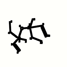 C=C[Si](C)(CC)O[Si](C)(C=C)CC